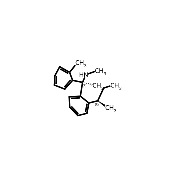 CC[C@@H](C)c1ccccc1[C@](C)(NC)c1ccccc1C